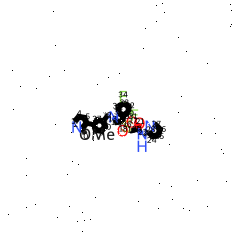 COc1ncccc1-c1cccc(Cn2cc(S(=O)(=O)CC(=O)Nc3ccccn3)c3c(F)cc(F)cc32)c1